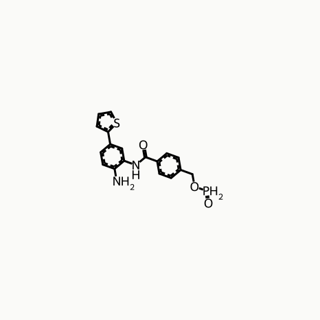 Nc1ccc(-c2cccs2)cc1NC(=O)c1ccc(CO[PH2]=O)cc1